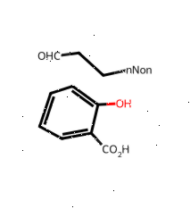 CCCCCCCCCCCC=O.O=C(O)c1ccccc1O